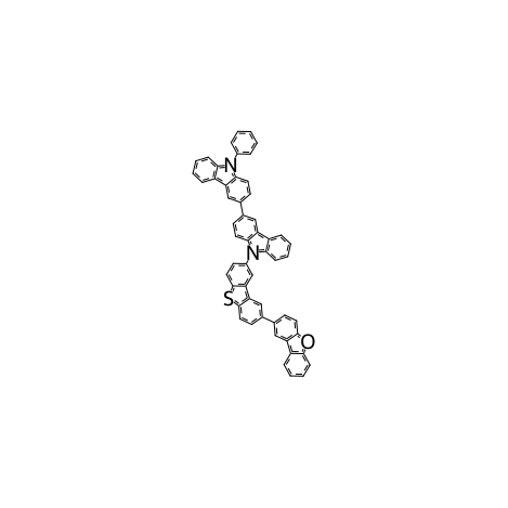 c1ccc(-n2c3ccccc3c3cc(-c4ccc5c(c4)c4ccccc4n5-c4ccc5sc6ccc(-c7ccc8oc9ccccc9c8c7)cc6c5c4)ccc32)cc1